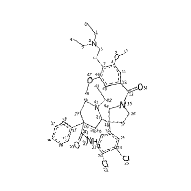 CCN(CC)CCc1c(OC)cc(C(=O)N2CCC(c3ccc(Cl)c(Cl)c3)(C3CC(C(N)=O)(c4ccccc4)CCN3CC)C2)cc1OC